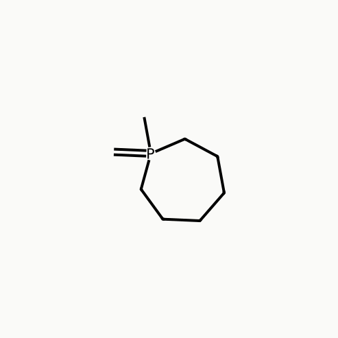 C=P1(C)CCCCCC1